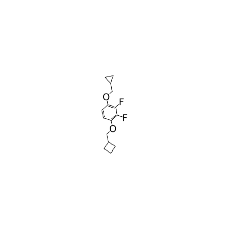 Fc1c(OCC2CCC2)ccc(OCC2CC2)c1F